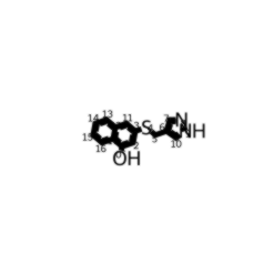 Oc1cc(SCc2cn[nH]c2)cc2ccccc12